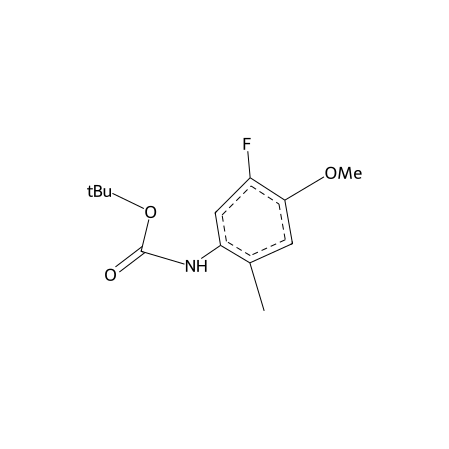 COc1cc(C)c(NC(=O)OC(C)(C)C)cc1F